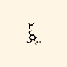 CCOc1cc(COCC(C)OCC)ccc1B(O)O